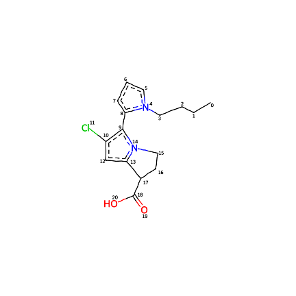 CCCCn1cccc1-c1c(Cl)cc2n1CCC2C(=O)O